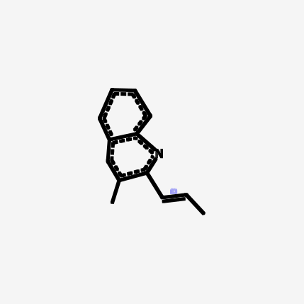 C/C=C/c1nc2ccccc2cc1C